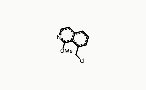 COc1nccc2cccc(CCl)c12